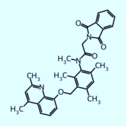 Cc1cc(C)c2cccc(OCc3c(C)cc(C)c(N(C)C(=O)CN4C(=O)c5ccccc5C4=O)c3C)c2n1